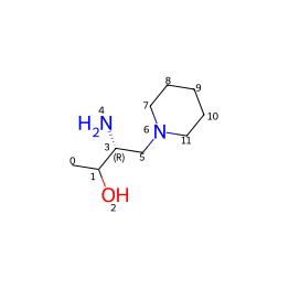 CC(O)[C@H](N)CN1CCCCC1